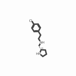 Clc1ccc(CCNC[C@@H]2CCCN2)cc1